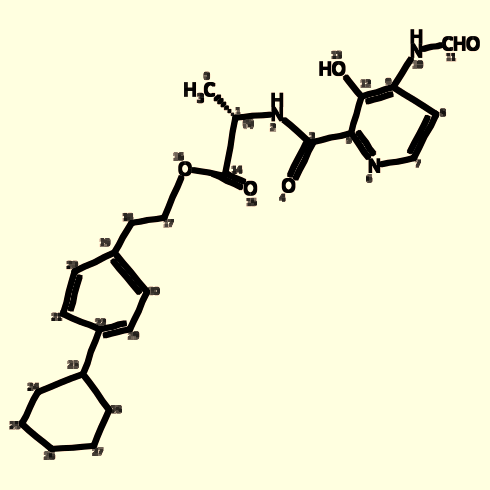 C[C@H](NC(=O)c1nccc(NC=O)c1O)C(=O)OCCc1ccc(C2CCCCC2)cc1